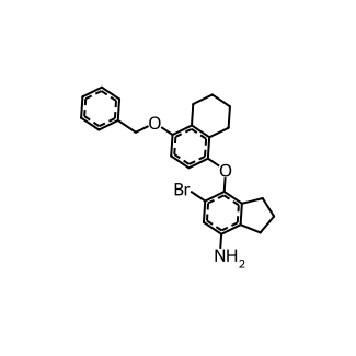 Nc1cc(Br)c(Oc2ccc(OCc3ccccc3)c3c2CCCC3)c2c1CCC2